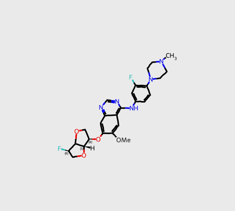 COc1cc2c(Nc3ccc(N4CCN(C)CC4)c(F)c3)ncnc2cc1O[C@@H]1COC2[C@H](F)CO[C@H]21